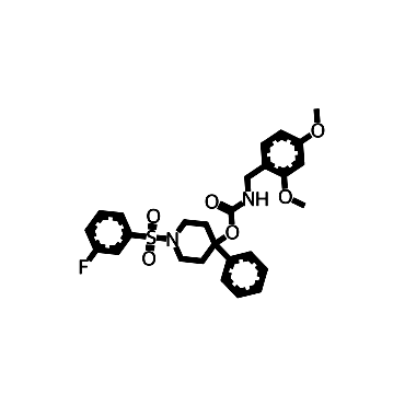 COc1ccc(CNC(=O)OC2(c3ccccc3)CCN(S(=O)(=O)c3cccc(F)c3)CC2)c(OC)c1